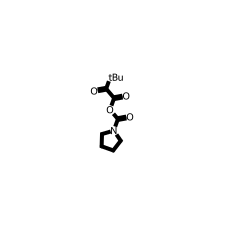 CC(C)(C)C(=O)C(=O)OC(=O)N1CCCC1